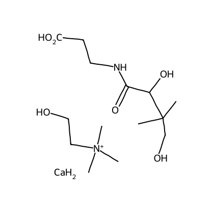 CC(C)(CO)C(O)C(=O)NCCC(=O)O.C[N+](C)(C)CCO.[CaH2]